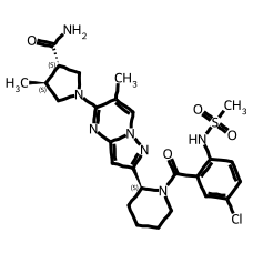 Cc1cn2nc([C@@H]3CCCCN3C(=O)c3cc(Cl)ccc3NS(C)(=O)=O)cc2nc1N1C[C@@H](C)[C@H](C(N)=O)C1